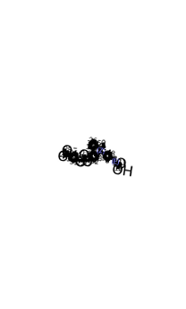 CC/C(=C(\c1ccc(/C=C/C(=O)O)cc1)c1ccc(OC(=O)Oc2ccc([N+](=O)[O-])cc2)cc1)c1ccccc1